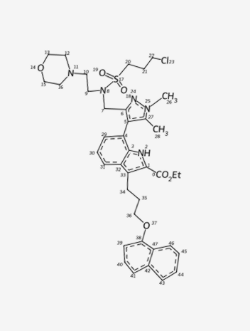 CCOC(=O)c1[nH]c2c(-c3c(CN(CCN4CCOCC4)S(=O)(=O)CCCCl)nn(C)c3C)cccc2c1CCCOc1cccc2ccccc12